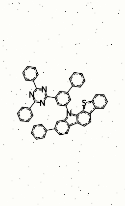 c1ccc(-c2cc(-c3nc(-c4ccccc4)nc(-c4ccccc4)n3)cc(-n3c4cc(-c5ccccc5)ccc4c4ccc5c6ccccc6sc5c43)c2)cc1